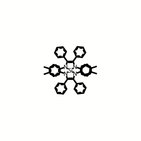 Cc1ccc(N2C(c3ccccc3)=C(c3ccccc3)N(c3ccc(C)cc3)[Si]23N(c2ccc(C)cc2)C(c2ccccc2)=C(c2ccccc2)N3c2ccc(C)cc2)cc1